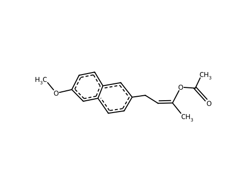 COc1ccc2cc(CC=C(C)OC(C)=O)ccc2c1